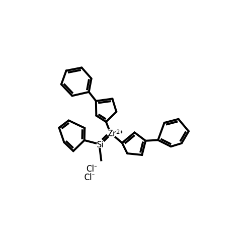 C[Si](c1ccccc1)=[Zr+2]([C]1=CC(c2ccccc2)=CC1)[C]1=CC(c2ccccc2)=CC1.[Cl-].[Cl-]